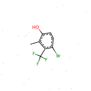 Cc1c(O)ccc(Br)c1C(F)(F)F